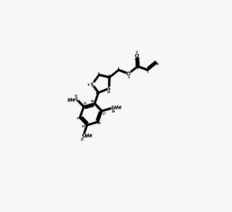 C=CC(=O)OCC1CSC(c2c(SC)cc(SC)cc2SC)S1